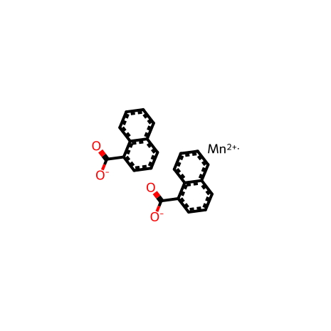 O=C([O-])c1cccc2ccccc12.O=C([O-])c1cccc2ccccc12.[Mn+2]